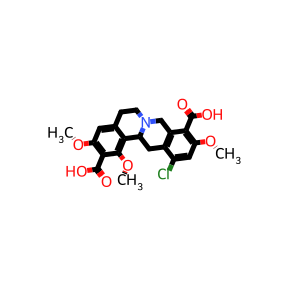 COc1cc(Cl)c2c(c1C(=O)O)CN1CCc3cc(OC)c(C(=O)O)c(OC)c3C1C2